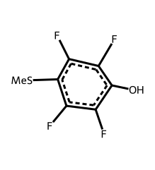 CSc1c(F)c(F)c(O)c(F)c1F